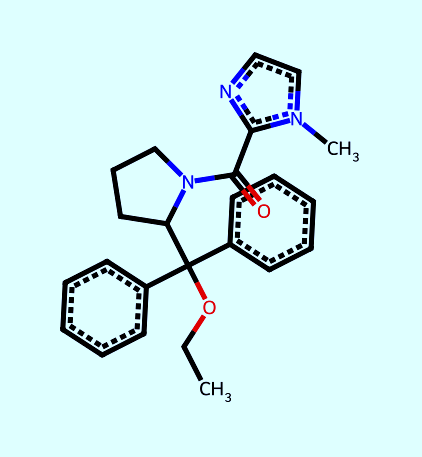 CCOC(c1ccccc1)(c1ccccc1)C1CCCN1C(=O)c1nccn1C